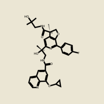 CC(C)(O)CNC(=O)[C@@]1(C)COc2c1cc([C@@](C)(O)CNC(=O)c1cc(OC3CC3)c3ncccc3c1)nc2-c1ccc(F)cc1